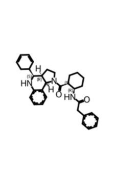 O=C(Cc1ccccc1)N[C@@H]1CCCC[C@@H]1C(=O)N1CC[C@@H]2[C@H](C3C=CC=CC3)Nc3ccccc3[C@@H]21